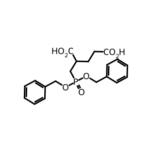 O=C(O)CCC(CP(=O)(OCc1ccccc1)OCc1ccccc1)C(=O)O